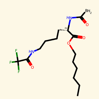 BC(=O)N[C@@H](CCCCNC(=O)C(F)(F)F)C(=O)OCCCCCC